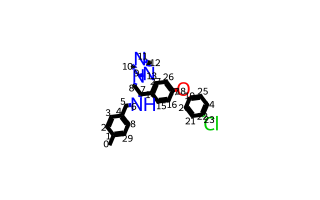 Cc1ccc(CNC(Cn2cncn2)c2ccc(Oc3ccc(Cl)cc3)cc2)cc1